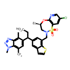 CC[C@@H]1CN(Cc2cc(C(CC(=O)O)c3cc(C(F)(F)F)c4c(nnn4C)c3C)cc3ccsc23)S(=O)(=O)c2cc(Cl)cnc2O1